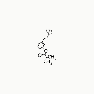 C=C(C)C(=O)Oc1cccc(CCC2CCO2)c1